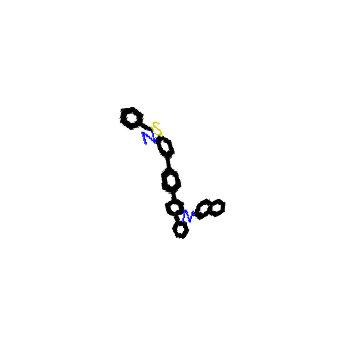 c1ccc(-c2nc3cc(-c4ccc(-c5ccc6c7ccccc7n(-c7ccc8ccccc8c7)c6c5)cc4)ccc3s2)cc1